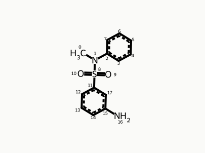 CN(c1ccccc1)S(=O)(=O)c1cccc(N)c1